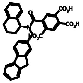 O=C(O)c1cc(C(=O)O)c(C(=O)N(Cc2ccc3c(c2)Cc2ccccc2-3)[C@H]2CCCc3ccccc32)cc1C(=O)O